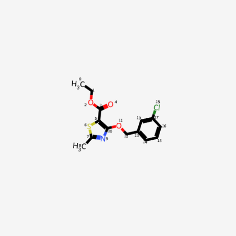 CCOC(=O)c1sc(C)nc1OCc1cccc(Cl)c1